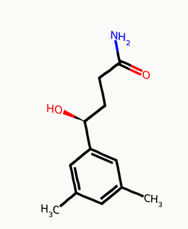 Cc1cc(C)cc([C@@H](O)CCC(N)=O)c1